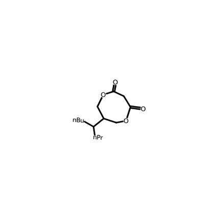 CCCCC(CCC)C1COC(=O)CC(=O)OC1